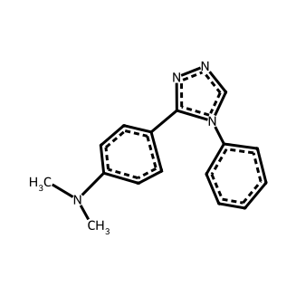 CN(C)c1ccc(-c2nncn2-c2ccccc2)cc1